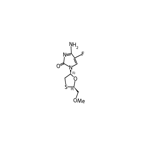 COC[C@@H]1O[C@H](n2cc(F)c(N)nc2=O)CS1